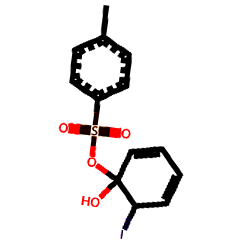 Cc1ccc(S(=O)(=O)OC2(O)C=CC=CC2I)cc1